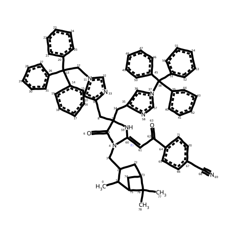 CC1C(CN2C(=O)C(Cc3cn(CC(c4ccccc4)(c4ccccc4)c4ccccc4)cn3)(Cc3cn(C(c4ccccc4)(c4ccccc4)c4ccccc4)cn3)N/C2=C\C(=O)c2ccc(C#N)cc2)CC2CC1C2(C)C